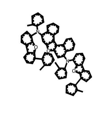 Cc1ccccc1-c1cccc2c1oc1c(N(c3ccccc3C)c3cc4oc5cc(N(c6ccccc6C)c6cccc7c6oc6c(-c8ccccc8C)cccc67)c6ccccc6c5c4c4ccccc34)cccc12